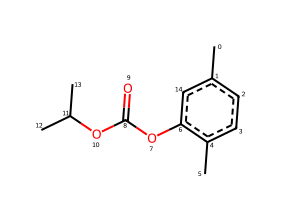 Cc1ccc(C)c(OC(=O)OC(C)C)c1